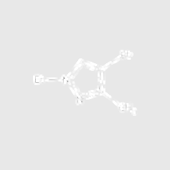 C[CH]c1cn(CC)nc1C